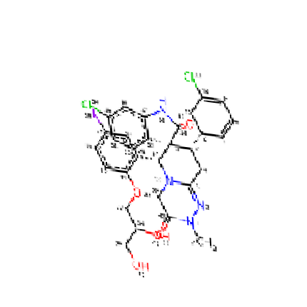 CN1N=C2C[C@@H](C3C=CC=C(Cl)C3)[C@]3(C(=O)Nc4cc(Cl)ccc43)[C@@H](c3cc(I)ccc3OCC(O)CO)N2CC1=O